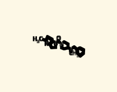 Cc1ccc2c(n1)CCN2C(=O)N1CCC(N(C)Cc2ccccc2)CC1